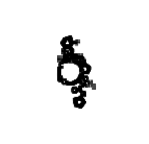 CN(C(=O)OC1CCCC1)[C@H]1CCCOCCC[C@@H]2C[C@@]2(P(=O)(O)Cc2c(F)cccc2F)NC(=O)[C@@H]2CCCN2C1=O